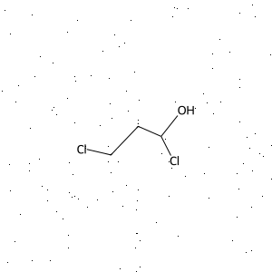 OC(Cl)[CH]CCl